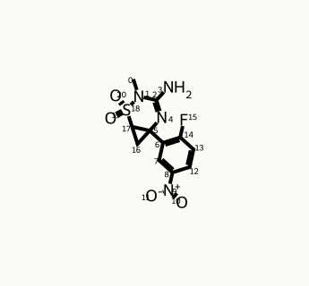 CN1C(N)=NC2(c3cc([N+](=O)[O-])ccc3F)CC2S1(=O)=O